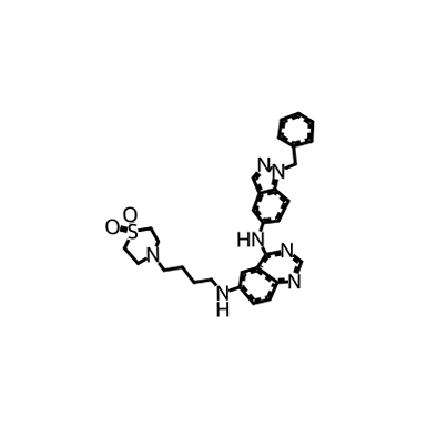 O=S1(=O)CCN(CCCCNc2ccc3ncnc(Nc4ccc5c(cnn5Cc5ccccc5)c4)c3c2)CC1